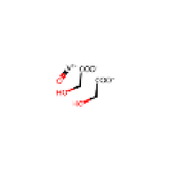 O=C([O-])CO.O=C([O-])CO.[O]=[V+2]